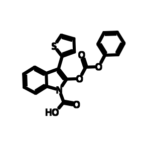 O=C(Oc1ccccc1)Oc1c(-c2cccs2)c2ccccc2n1C(=O)O